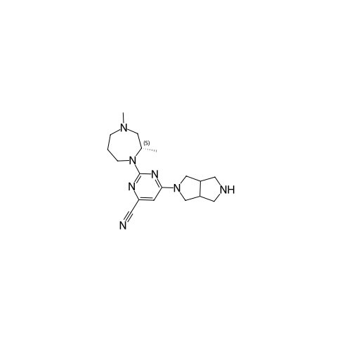 C[C@H]1CN(C)CCCN1c1nc(C#N)cc(N2CC3CNCC3C2)n1